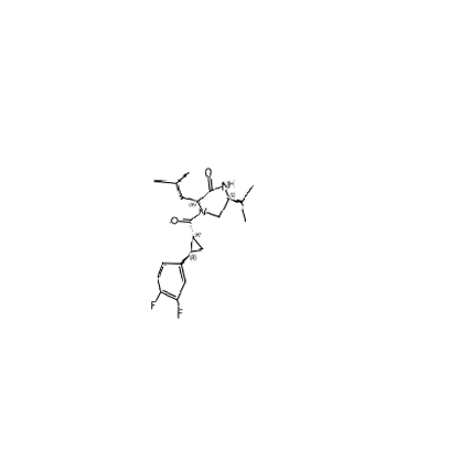 CC(C)C[C@H]1C(=O)N[C@@H](C(C)C)CN1C(=O)[C@@H]1C[C@H]1c1ccc(F)c(F)c1